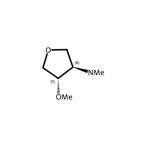 CN[C@@H]1COC[C@H]1OC